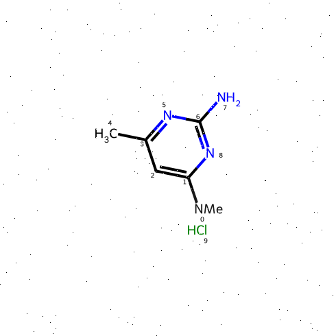 CNc1cc(C)nc(N)n1.Cl